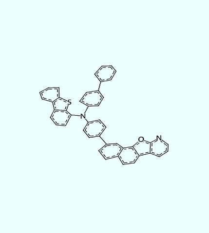 c1ccc(-c2ccc(N(c3ccc(-c4ccc5ccc6c7cccnc7oc6c5c4)cc3)c3cccc4c3sc3ccccc34)cc2)cc1